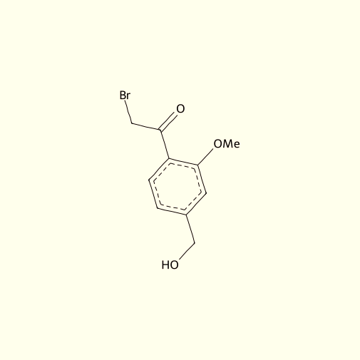 COc1cc(CO)ccc1C(=O)CBr